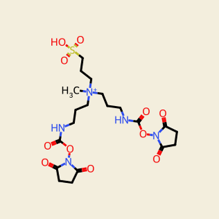 C[N+](CCCNC(=O)ON1C(=O)CCC1=O)(CCCNC(=O)ON1C(=O)CCC1=O)CCCS(=O)(=O)O